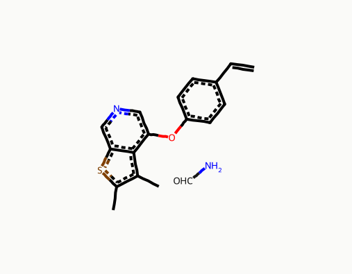 C=Cc1ccc(Oc2cncc3sc(C)c(C)c23)cc1.NC=O